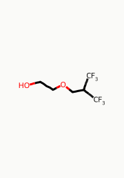 OCCOCC(C(F)(F)F)C(F)(F)F